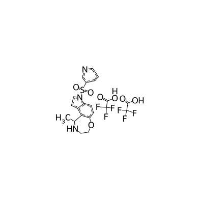 CC1NCCOc2ccc3c(ccn3S(=O)(=O)c3cccnc3)c21.O=C(O)C(F)(F)F.O=C(O)C(F)(F)F